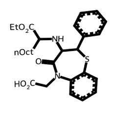 CCCCCCCCC(NC1C(=O)N(CC(=O)O)c2ccccc2SC1c1ccccc1)C(=O)OCC